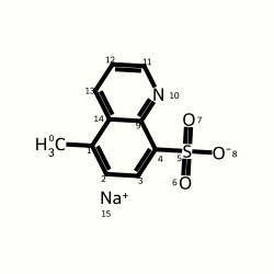 Cc1ccc(S(=O)(=O)[O-])c2ncccc12.[Na+]